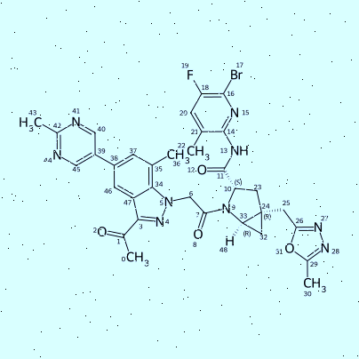 CC(=O)c1nn(CC(=O)N2[C@H](C(=O)Nc3nc(Br)c(F)cc3C)C[C@@]3(Cc4nnc(C)o4)C[C@@H]23)c2c(C)cc(-c3cnc(C)nc3)cc12